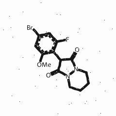 COc1cc(Br)cc(F)c1C1C(=O)N2CCCCN2C1=O